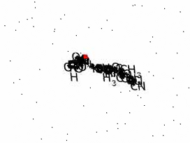 CC1(C)[C@H](NC(=O)c2ccc(N3CCN(CCNc4cccc5c4C(=O)N(C4CCC(=O)NC4=O)C5=O)CC3)cc2)C(C)(C)[C@H]1Oc1ccc(C#N)c(Cl)c1